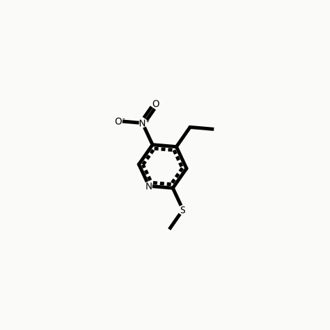 CCc1cc(SC)ncc1[N+](=O)[O-]